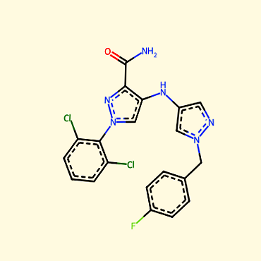 NC(=O)c1nn(-c2c(Cl)cccc2Cl)cc1Nc1cnn(Cc2ccc(F)cc2)c1